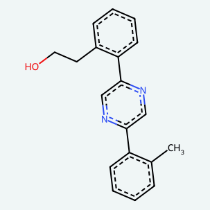 Cc1ccccc1-c1cnc(-c2ccccc2CCO)cn1